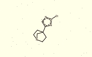 CCn1ncc(C23CCN(CC2)C3)n1